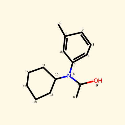 Cc1cccc(N(C(C)O)C2CCCCC2)c1